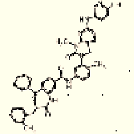 Cc1ccc(Nc2ncc3c(n2)N(C)C(=O)N(c2cc(NC(=O)c4ccc5c(c4)NC(=O)C(Cc4ccccc4C)N=C5c4ccccc4)ccc2C)C3)cn1